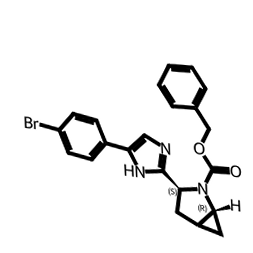 O=C(OCc1ccccc1)N1[C@@H]2CC2C[C@H]1c1ncc(-c2ccc(Br)cc2)[nH]1